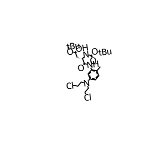 Cc1ccc(N(CCCl)CCCl)cc1NC(=O)[C@H](CC(=O)OC(C)(C)C)NC(=O)OC(C)(C)C